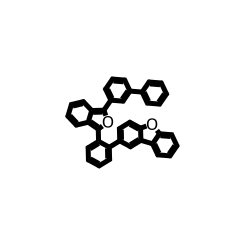 c1ccc(-c2cccc(-c3oc(-c4ccccc4-c4ccc5oc6ccccc6c5c4)c4ccccc34)c2)cc1